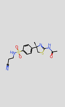 CC(=O)NC1=N[C@@](C)(c2ccc(S(=O)(=O)NCCC#N)cc2)CS1